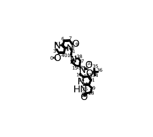 COc1cnc2ccc(=O)n(CCN3CCC(N(Cc4ccc5c(n4)NC(=O)CC5)C(=O)OC(C)(C)C)CC3)c2c1